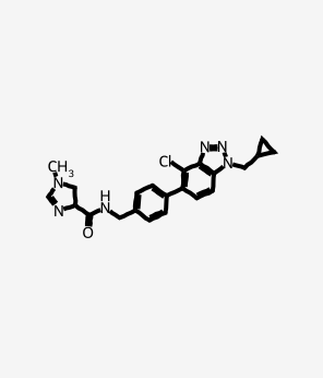 CN1C=NC(C(=O)NCc2ccc(-c3ccc4c(nnn4CC4CC4)c3Cl)cc2)C1